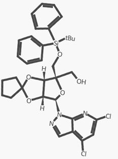 CC(C)(C)[Si](OC[C@@]1(CO)O[C@@H](n2ncc3c(Cl)cc(Cl)nc32)[C@@H]2OC3(CCCC3)O[C@@H]21)(c1ccccc1)c1ccccc1